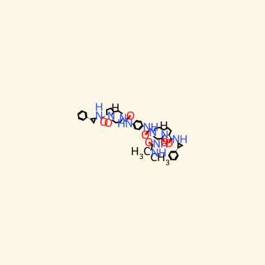 CN[C@@H](C)C(=O)N[C@H]1CN(C(=O)Nc2ccc(NC(=O)N3CCC(=O)N4[C@H](CC[C@H]4C(=O)N[C@@H]4C[C@@H]4c4ccccc4)CC3)cc2)CC[C@H]2CC[C@@H](C(=O)N[C@@H]3C[C@@H]3c3ccccc3)N2C1=O